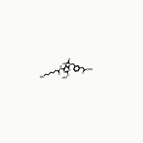 CCCCOc1nc(NC(=O)CCCCCC(C)(C)C)c2[nH]c(=O)n(Cc3cccc(CC(=O)OC)c3)c2n1